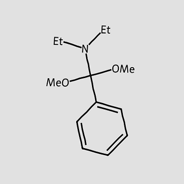 CCN(CC)C(OC)(OC)c1ccccc1